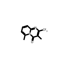 Cc1c(C(F)(F)F)nc2cccc(C)n2c1=O